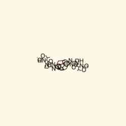 COC(=O)N[C@H](C(=O)N1CCCC1c1nc2ccc(C3=CC4CC=C3CCc3ccc(c(-c5ccc6nc(C7CCCN7C(=O)[C@@H](NC(=O)OC)C(C)C)[nH]c6c5)c3)CC4)cc2[nH]1)C(C)C